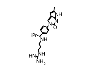 Cc1cc2cn(-c3ccc([C@@H](NCCCNC(=N)N)C(C)C)cc3)c(=O)nc2[nH]1